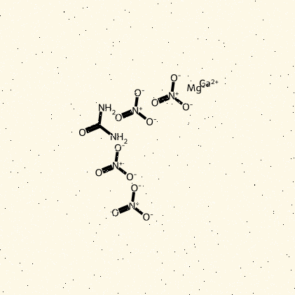 NC(N)=O.O=[N+]([O-])[O-].O=[N+]([O-])[O-].O=[N+]([O-])[O-].O=[N+]([O-])[O-].[Ca+2].[Mg+2]